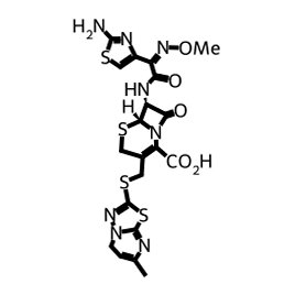 CO/N=C(\C(=O)N[C@@H]1C(=O)N2C(C(=O)O)=C(CSC3=NN4CC=C(C)N=C4S3)CS[C@H]12)c1csc(N)n1